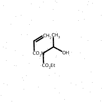 C=CC(=O)O.CCOC(=O)CC(C)O